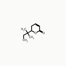 CCC(C)(C)C1CC=CC(=O)O1